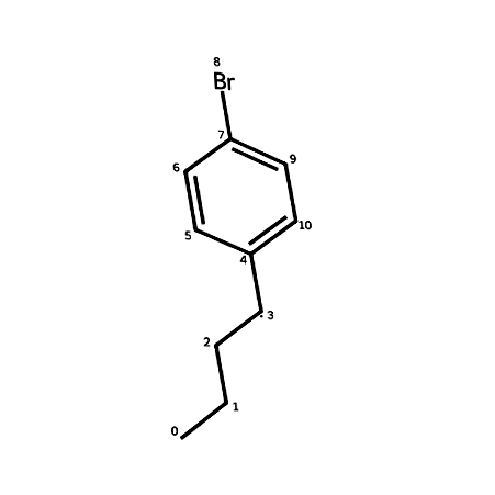 CCC[CH]c1ccc(Br)cc1